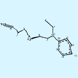 CCN(CCOCCC#N)c1ccccc1